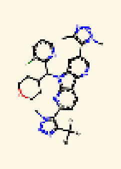 [2H]C([2H])([2H])c1nnn(C)c1-c1ccc2c3ncc(-c4c(C)nnn4C)cc3n(C(c3ncccc3F)C3CCOCC3)c2n1